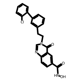 O=C(NO)c1ccc2ncn(CCc3cccc(-c4ccccc4Cl)c3)c(=O)c2c1